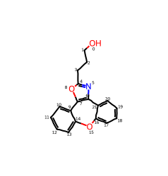 OCCCc1nc2c(o1)-c1ccccc1Oc1ccccc1-2